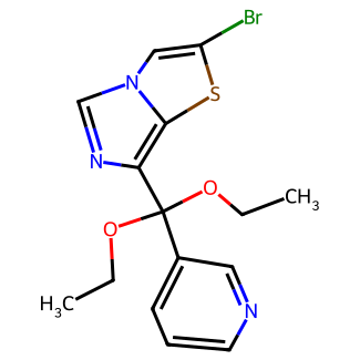 CCOC(OCC)(c1cccnc1)c1ncn2cc(Br)sc12